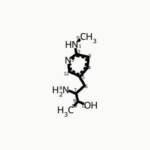 CNc1ccc(CC(N)C(C)O)cn1